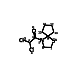 O=C(C(Cl)Cl)N1CCSC12CCCC2